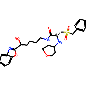 O=C(NCCCCC(O)c1nc2ccccc2o1)[C@H](CS(=O)(=O)Cc1ccccc1)NC1CCOCC1